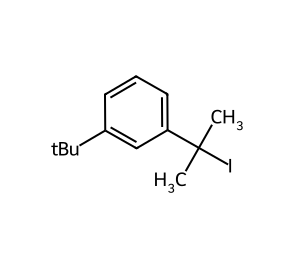 CC(C)(C)c1cccc(C(C)(C)I)c1